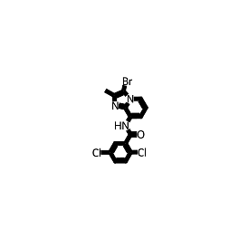 Cc1nc2c(NC(=O)c3cc(Cl)ccc3Cl)cccn2c1Br